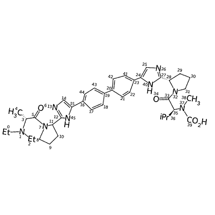 CCN(CC)[C@H](C)C(=O)N1CCCC1c1ncc(-c2ccc(-c3ccc(-c4cnc([C@@H]5CCCN5C(=O)[C@H](C(C)C)N(C)C(=O)O)[nH]4)cc3)cc2)[nH]1